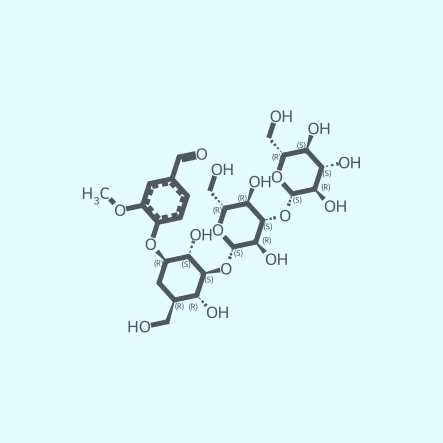 COc1cc(C=O)ccc1O[C@@H]1C[C@H](CO)[C@@H](O)[C@H](O[C@@H]2O[C@H](CO)[C@@H](O)[C@H](O[C@@H]3O[C@H](CO)[C@@H](O)[C@H](O)[C@H]3O)[C@H]2O)[C@H]1O